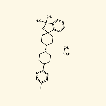 CC1(C)O[C@]2(CC[C@H](N3CCN(c4ncc(F)cn4)CC3)CC2)c2ccccc21.CS(=O)(=O)O